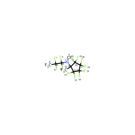 FC(F)(F)N(C(F)(F)C(F)(F)C(F)(F)F)C1(C(F)(F)F)C(F)(F)C(F)(F)C(F)(F)C1(F)F